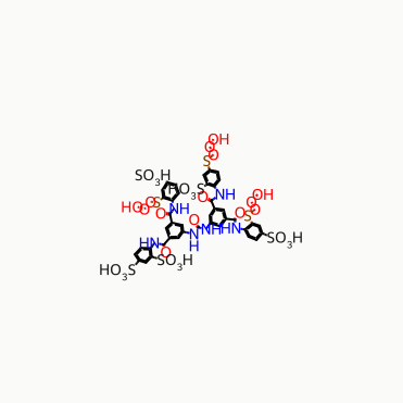 O=C(Nc1cc(C(=O)Nc2ccc(S(=O)(=O)O)cc2SOOO)cc(C(=O)Nc2ccc(SOOO)cc2S(=O)(=O)O)c1)Nc1cc(C(=O)Nc2ccc(S(=O)(=O)O)cc2SOOO)cc(C(=O)Nc2ccc(S(=O)(=O)O)cc2S(=O)(=O)O)c1